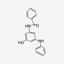 O=C(Nc1cc(O)cc(Nc2ccccc2)c1)c1ccccc1